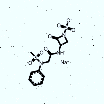 CS(=O)(=O)N(CC(=O)NC1CN(S(=O)(=O)[O-])C1=O)c1ccccc1.[Na+]